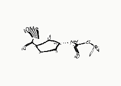 COC(=O)C1CC[C@@H](NC(=O)OC(C)(C)C)C1